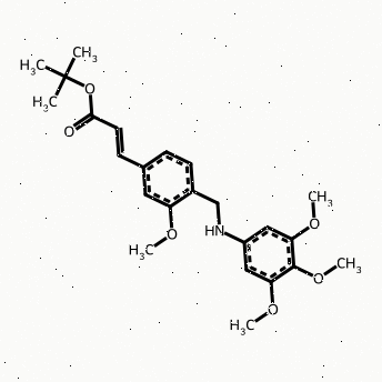 COc1cc(/C=C/C(=O)OC(C)(C)C)ccc1CNc1cc(OC)c(OC)c(OC)c1